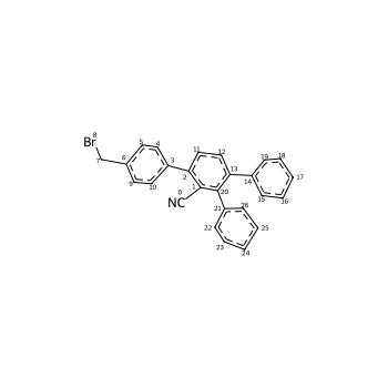 N#Cc1c(-c2ccc(CBr)cc2)ccc(-c2ccccc2)c1-c1ccccc1